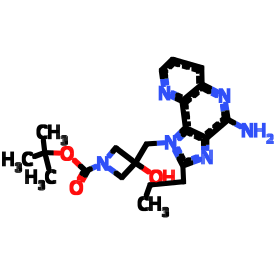 CCCc1nc2c(N)nc3cccnc3c2n1CC1(O)CN(C(=O)OC(C)(C)C)C1